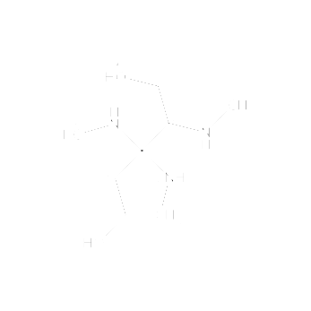 CNC(CO)C(CCO)(NC)NC